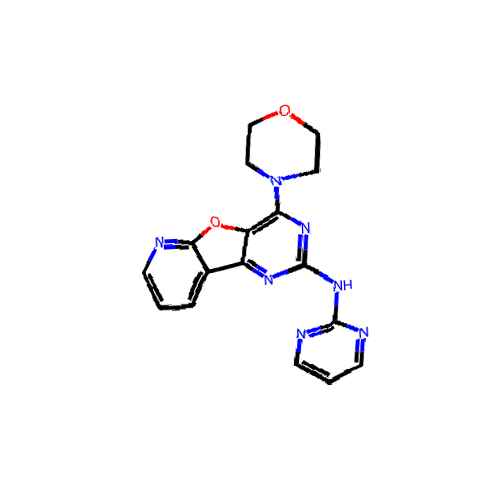 c1cnc(Nc2nc(N3CCOCC3)c3oc4ncccc4c3n2)nc1